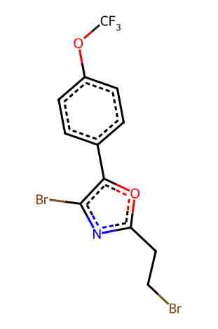 FC(F)(F)Oc1ccc(-c2oc(CCBr)nc2Br)cc1